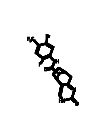 O=C(Nc1cc(Br)c(C(F)(F)F)cc1F)N1C2CCC1c1c[nH]c(=O)nc1C2